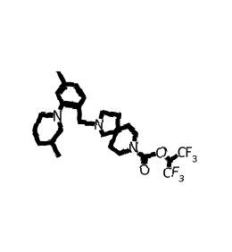 Cc1ccc(CN2CCC3(CCN(C(=O)OC(C(F)(F)F)C(F)(F)F)CC3)C2)c(N2CCCC(C)C2)c1